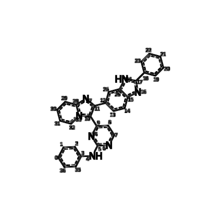 c1ccc(Nc2nccc(-c3c(-c4ccc5nc(-c6ccccc6)[nH]c5c4)nc4ccccn34)n2)cc1